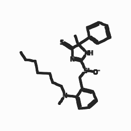 CCCCCCCN(C)c1ccccc1C[S+]([O-])C1=NC(=S)C(C)(c2ccccc2)N1